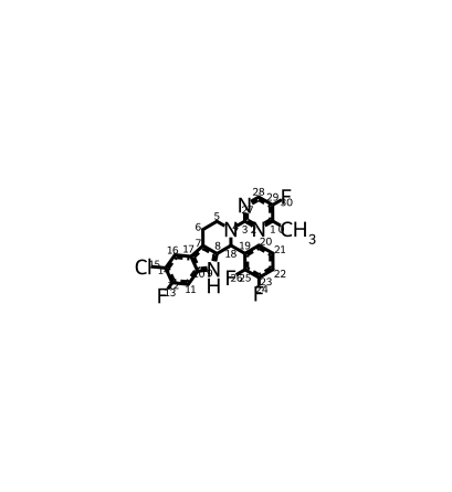 Cc1nc(N2CCc3c([nH]c4cc(F)c(Cl)cc34)C2c2cccc(F)c2F)ncc1F